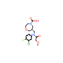 COCC(=O)NC[C@@H]1CN(C(=O)O)CCO[C@H]1c1ccc(Cl)c(F)c1